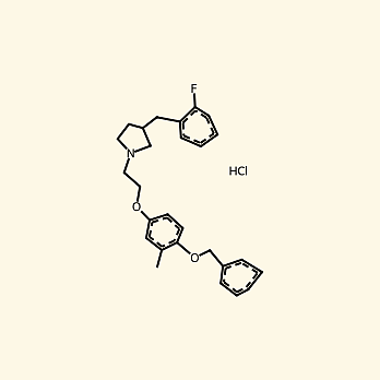 Cc1cc(OCCN2CCC(Cc3ccccc3F)C2)ccc1OCc1ccccc1.Cl